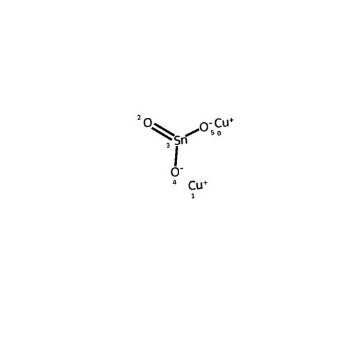 [Cu+].[Cu+].[O]=[Sn]([O-])[O-]